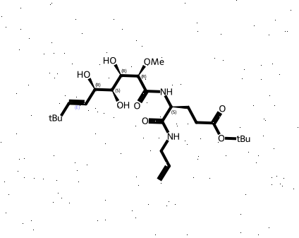 C=CCNC(=O)[C@H](CCC(=O)OC(C)(C)C)NC(=O)[C@H](OC)[C@H](O)[C@@H](O)[C@H](O)/C=C/C(C)(C)C